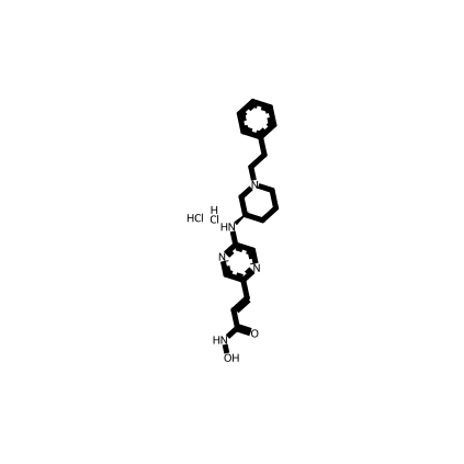 Cl.Cl.O=C(/C=C/c1cnc(N[C@@H]2CCCN(CCc3ccccc3)C2)cn1)NO